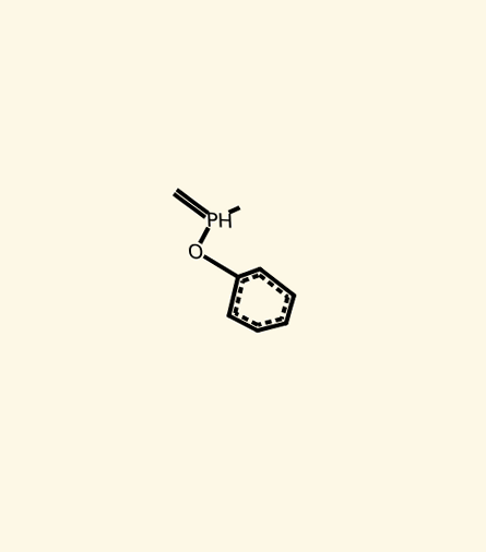 C=[PH](C)Oc1ccccc1